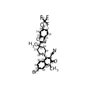 Cn1c(=O)c(C#N)c(N2CCC(C)(c3nc4ccc(OC(F)(F)F)cc4o3)CC2)c2ccc(Br)cc21